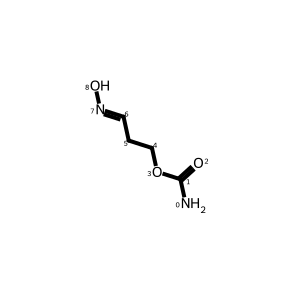 NC(=O)OCCC=NO